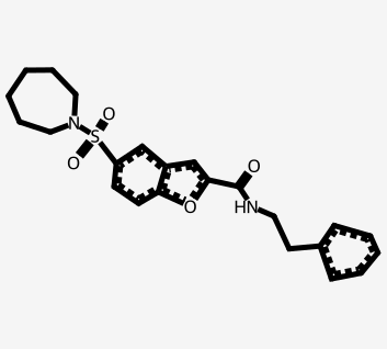 O=C(NCCc1ccccc1)c1cc2cc(S(=O)(=O)N3CCCCCC3)ccc2o1